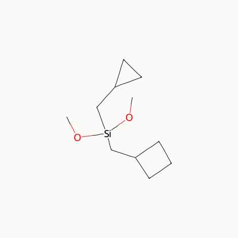 CO[Si](CC1CCC1)(CC1CC1)OC